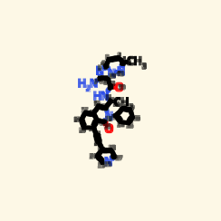 Cc1ccc2nc(N)c(C(=O)N[C@@H](C)c3cc4cccc(C#Cc5ccncc5)c4c(=O)n3-c3ccccc3)n2n1